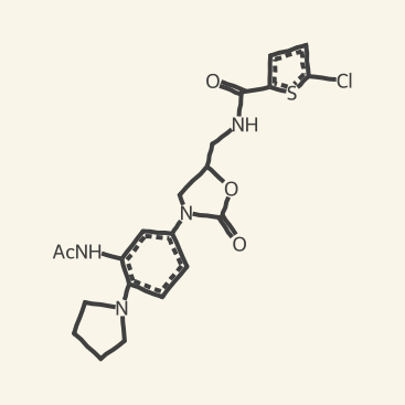 CC(=O)Nc1cc(N2CC(CNC(=O)c3ccc(Cl)s3)OC2=O)ccc1N1CCCC1